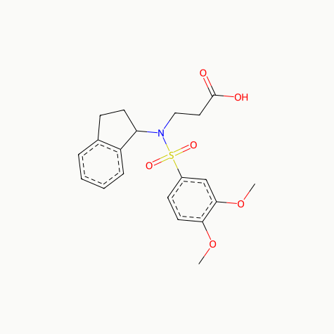 COc1ccc(S(=O)(=O)N(CCC(=O)O)C2CCc3ccccc32)cc1OC